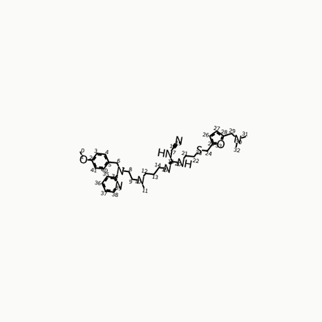 COc1ccc(CN(CCN(C)CCC/N=C(\NC#N)NCCSCc2ccc(CN(C)C)o2)c2ccccn2)cc1